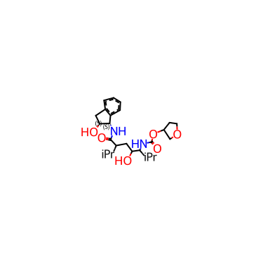 CC(C)C(CC(O)C(NC(=O)OC1CCOC1)C(C)C)C(=O)N[C@H]1c2ccccc2C[C@@H]1O